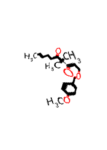 C/C=C/CCC(=O)C(C)(C)[C@@H]1CCOC(c2ccc(OC)cc2)O1